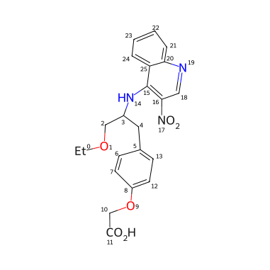 CCOCC(Cc1ccc(OCC(=O)O)cc1)Nc1c([N+](=O)[O-])cnc2ccccc12